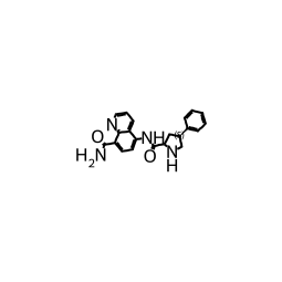 NC(=O)c1ccc(NC(=O)C2C[C@@H](c3ccccc3)CN2)c2cccnc12